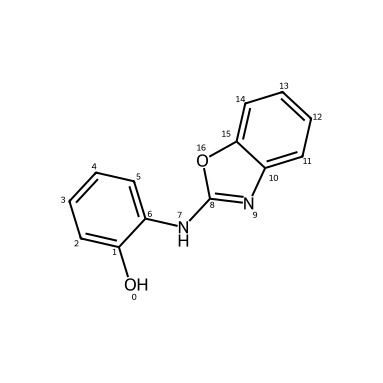 Oc1ccccc1Nc1nc2ccccc2o1